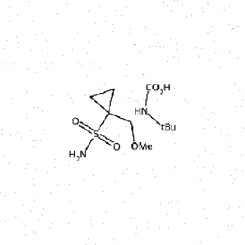 CC(C)(C)NC(=O)O.COCC1(S(N)(=O)=O)CC1